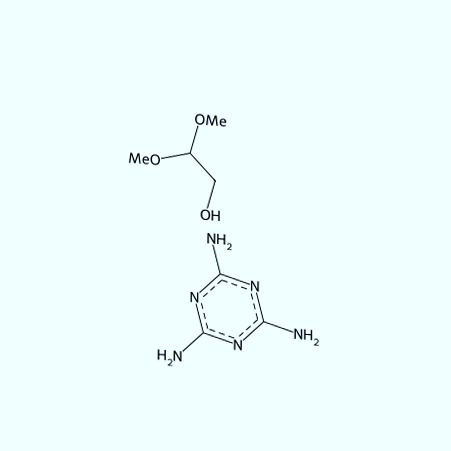 COC(CO)OC.Nc1nc(N)nc(N)n1